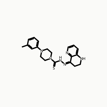 Cc1cccc(N2CCN(C(=S)N/N=C3/CCNc4cccnc43)CC2)c1